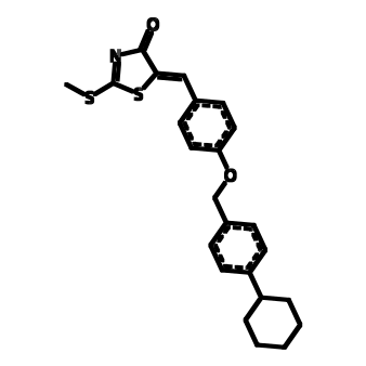 CSC1=NC(=O)/C(=C/c2ccc(OCc3ccc(C4CCCCC4)cc3)cc2)S1